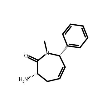 CN1C(=O)[C@@H](N)CC=C[C@H]1c1ccccc1